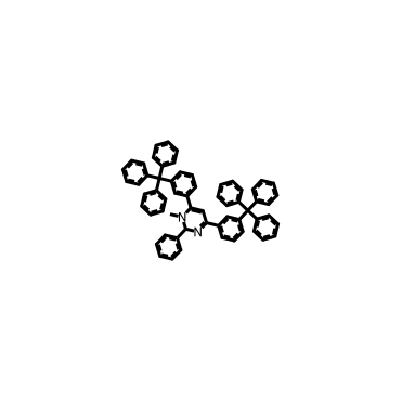 CN1C(c2cccc(C(c3ccccc3)(c3ccccc3)c3ccccc3)c2)=CC(c2cccc(C(c3ccccc3)(c3ccccc3)c3ccccc3)c2)=NC1c1ccccc1